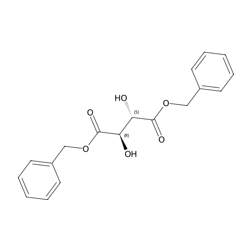 O=C(OCc1ccccc1)[C@@H](O)[C@@H](O)C(=O)OCc1ccccc1